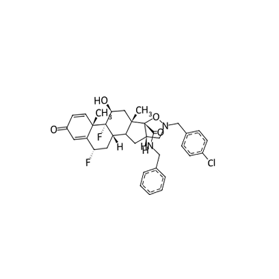 C[C@]12C=CC(=O)C=C1[C@@H](F)C[C@H]1C3C[C@H]4CN(Cc5ccc(Cl)cc5)O[C@@]4(C(=O)NCc4ccccc4)[C@@]3(C)C[C@H](O)[C@@]12F